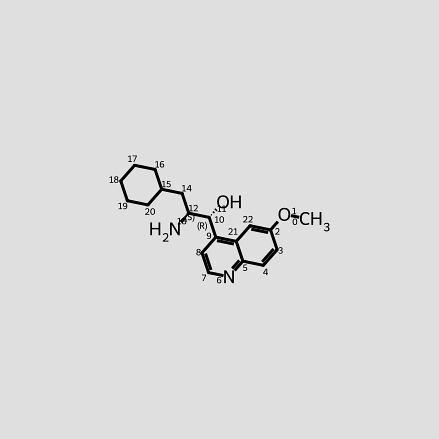 COc1ccc2nccc([C@@H](O)[C@@H](N)CC3CCCCC3)c2c1